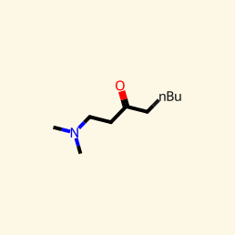 CCCCCC(=O)CCN(C)C